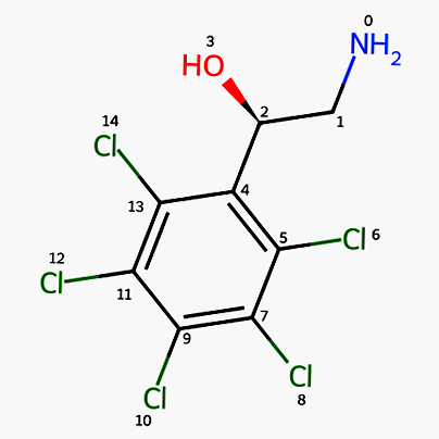 NC[C@H](O)c1c(Cl)c(Cl)c(Cl)c(Cl)c1Cl